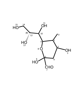 CC1C(O)CC(O)(C=O)OC1C(O)[C@H](O)CO